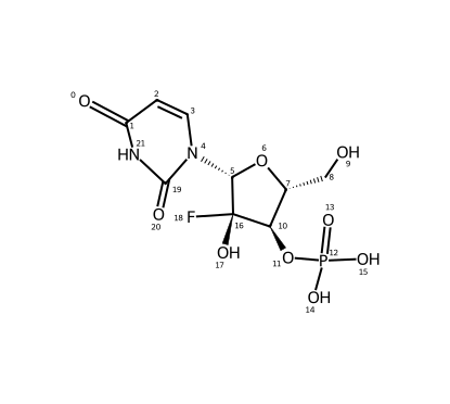 O=c1ccn([C@@H]2O[C@H](CO)[C@@H](OP(=O)(O)O)[C@]2(O)F)c(=O)[nH]1